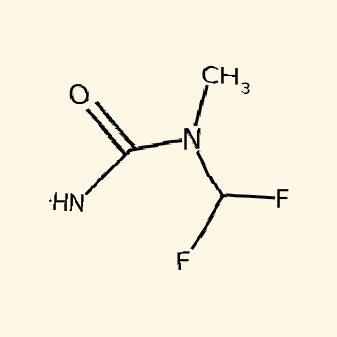 CN(C([NH])=O)C(F)F